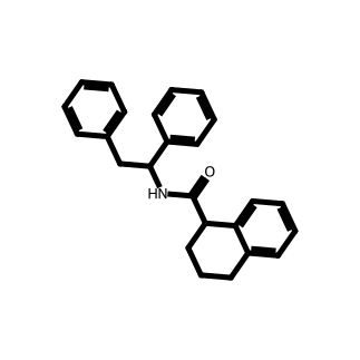 O=C(NC(Cc1ccccc1)c1ccccc1)C1CCCc2ccccc21